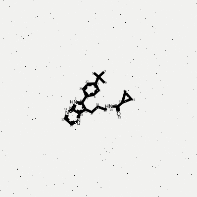 CC(C)(C)c1ccc(-c2[nH]c3nccnc3c2CCCNC(=O)C2CC2)cc1